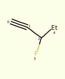 C#CC(F)CC